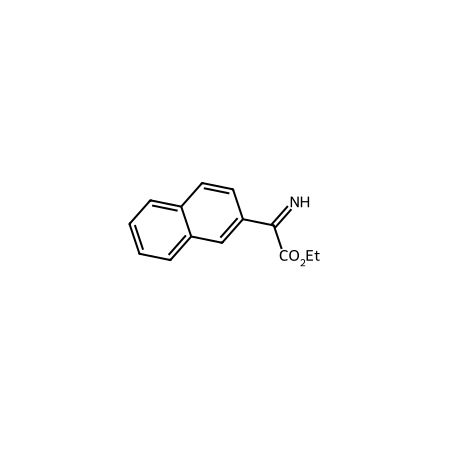 CCOC(=O)C(=N)c1ccc2ccccc2c1